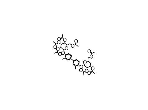 CC(=O)OC[C@@H]1C[C@H](OC(C)=O)[C@H](OC(C)=O)[C@@H](Oc2ccc(-c3ccc(O[C@H]4O[C@H](COC(C)=O)[C@@H](OC(C)=O)[C@H](OC(C)=O)[C@@H]4OC(C)=O)c(C)c3)cc2C)O1